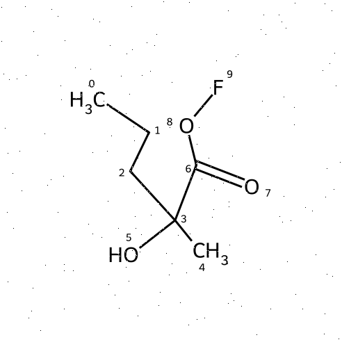 CCCC(C)(O)C(=O)OF